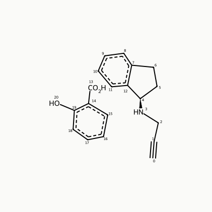 C#CCN[C@@H]1CCc2ccccc21.O=C(O)c1ccccc1O